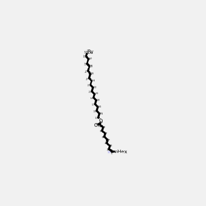 CCCCCC/C=C\CCCCCCCC(=O)OCCCCCCCCCCCCCCCCCCCC(C)CC